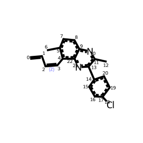 C=C/C=C\c1c(C)ccc2nc(C)c(-c3ccc(Cl)cc3)nc12